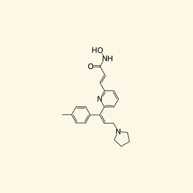 Cc1ccc(C(=CCN2CCCC2)c2cccc(C=CC(=O)NO)n2)cc1